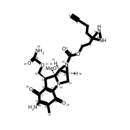 C#CCCC1(CCOC(=O)N2[C@H]3[C@@H]2CN2C4=C(C(=O)C(N)=C(C)C4=O)[C@@H](COC(N)=O)[C@@]32OC)NN1